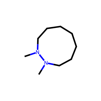 CN1CCCCCCCN1C